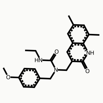 CCNC(=O)N(Cc1ccc(OC)cc1)Cc1cc2cc(C)cc(C)c2[nH]c1=O